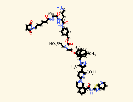 Cc1c(-c2ccc(N3CCc4cccc(C(=O)Nc5nc6cccnc6s5)c4C3)nc2C(=O)O)cnn1CC12CC3(C)CC(C)(C1)CC(OCCN(CCS(=O)(=O)O)C(=O)OCc1ccc(NC(=O)[C@H](CCCN)NC(=O)[C@@H](NC(=O)CCCCCN4C(=O)C=CC4=O)C(C)C)cc1)(C3)C2